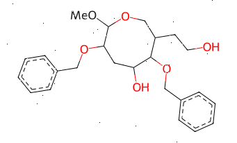 COC1OCC(CCO)C(OCc2ccccc2)C(O)CC1OCc1ccccc1